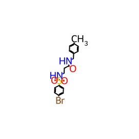 Cc1ccc(CNC(=O)CCNS(=O)(=O)c2ccc(Br)cc2)cc1